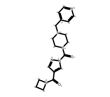 O=C(c1cnn(C(=O)N2CCN(Cc3ccncc3)CC2)c1)N1CCC1